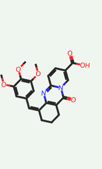 COc1cc(/C=C2/CCCc3c2nc2ccc(C(=O)O)cn2c3=O)cc(OC)c1OC